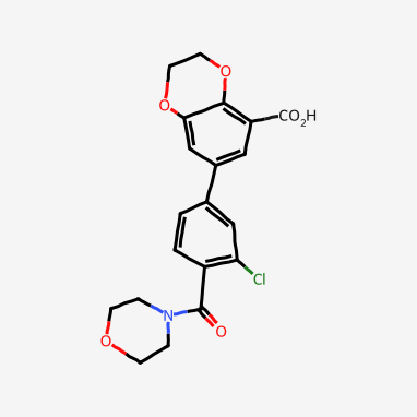 O=C(O)c1cc(-c2ccc(C(=O)N3CCOCC3)c(Cl)c2)cc2c1OCCO2